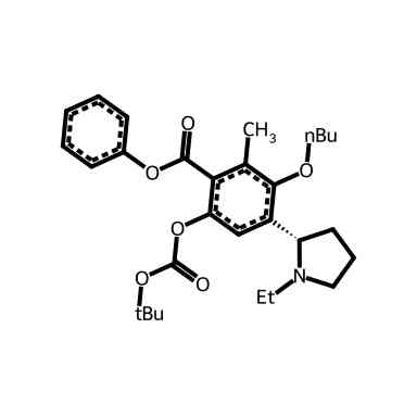 CCCCOc1c([C@@H]2CCCN2CC)cc(OC(=O)OC(C)(C)C)c(C(=O)Oc2ccccc2)c1C